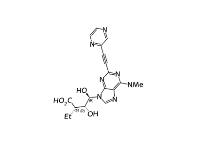 CC[C@H](C(=O)O)[C@@H](O)[C@@H](O)n1cnc2c(NC)nc(C#Cc3cnccn3)nc21